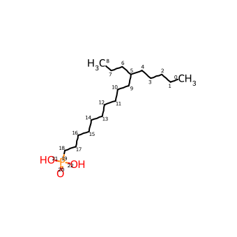 CCCCCC(CCC)CCCCCCCCCCP(=O)(O)O